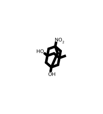 CC12CC3(O)CC(O)(C1)CC([N+](=O)[O-])(C2)C3